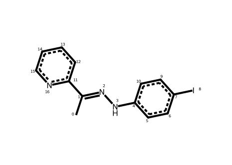 C/C(=N\Nc1ccc(I)cc1)c1ccccn1